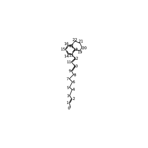 CC=CCCCCCCC=CC=Cc1cccc2c1CCCC2